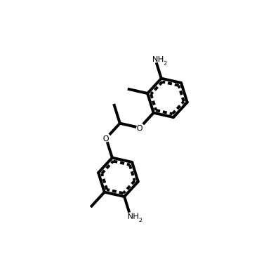 Cc1cc(OC(C)Oc2cccc(N)c2C)ccc1N